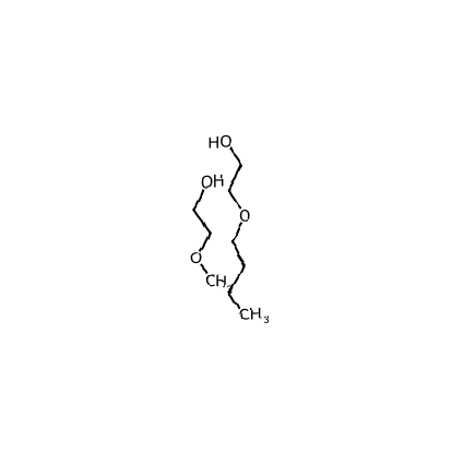 CCCCOCCO.COCCO